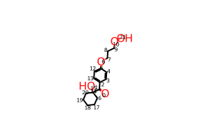 O=C(c1ccc(OCCCOO)cc1)C1(O)CCCCC1